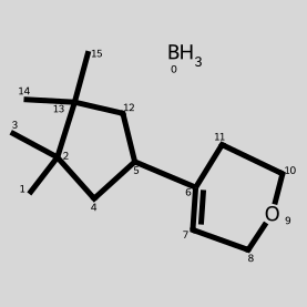 B.CC1(C)CC(C2=CCOCC2)CC1(C)C